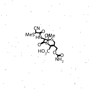 CO[C@@]1(NC(=O)C(C#N)SC)C(=O)N2C(C(=O)O)=C(COC(N)=O)CS[C@H]21